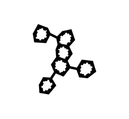 c1ccc(-c2cc(-c3ccccc3)c3cc4cccc(-c5ccccc5)c4cc3c2)cc1